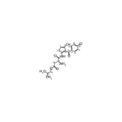 Cc1csc(NC(=O)[C@@H](N)CC(=O)OCC(C)C)c1C(=O)c1ccc(Cl)cc1